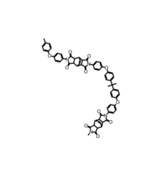 Cc1ccc(Oc2ccc(N3C(=O)C4C5C=CC(C4C3=O)C3C(=O)N(c4ccc(Oc6ccc(C(C)(C)c7ccc(Oc8ccc(N9C(=O)C%10C%11C=CC(C%12C(=O)N(C)C(=O)C%11%12)C%10C9=O)cc8)cc7)cc6)cc4)C(=O)C53)cc2)cc1